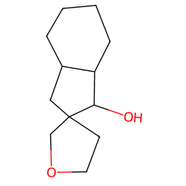 OC1C2CCCCC2CC12CCOC2